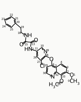 COc1ccc2c(Oc3ncc(NC(=O)C(=O)NCCc4ccccc4)cc3Cl)ccnc2c1OC